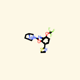 FC(F)(F)Oc1[c]cc(-c2nccs2)c2oc(N3CC4CCC(C3)N4)nc12